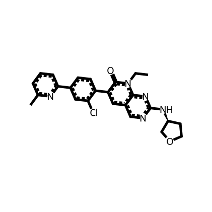 CCn1c(=O)c(-c2ccc(-c3cccc(C)n3)cc2Cl)cc2cnc(N[C@H]3CCOC3)nc21